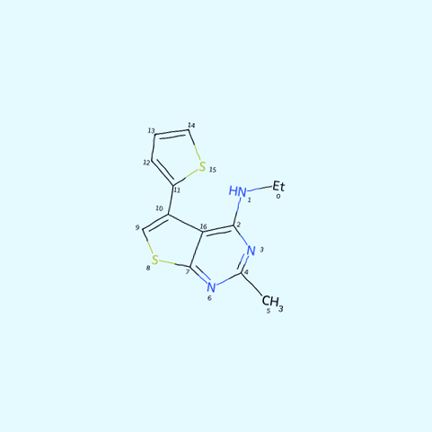 CCNc1nc(C)nc2scc(-c3cccs3)c12